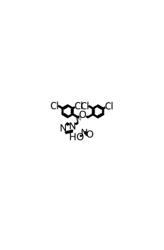 Clc1ccc(CO[C@@H](Cn2ccnc2)c2ccc(Cl)cc2Cl)c(Cl)c1.O=NO